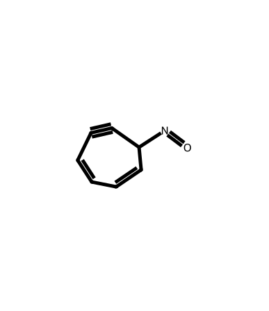 O=NC1C#CC=CC=C1